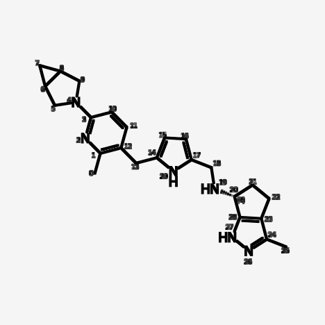 Cc1nc(N2CC3CC3C2)ccc1Cc1ccc(CN[C@@H]2CCc3c(C)n[nH]c32)[nH]1